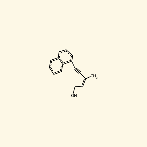 CC(C#Cc1cccc2ccccc12)=CCO